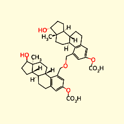 C[C@]12CC[C@@H]3c4c(cc(OC(=O)O)cc4COCc4cc(OC(=O)O)cc5c4[C@H]4CC[C@]6(C)[C@H](O)CC[C@H]6[C@@H]4CC5)CC[C@H]3[C@@H]1CC[C@H]2O